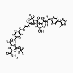 Cc1ncsc1-c1ccc([C@H](C)NC(=O)[C@@H]2C[C@H](O)CN2C(=O)[C@@H](NC(=O)CCCCc2ccc(CO[C@H](C)[C@H](CCC(N)=O)NC(=O)OC(C)(C)C)cc2)C(C)(C)C)cc1